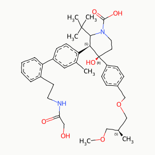 COC[C@H](C)COCc1ccc([C@@]2(O)CCN(C(=O)O)C(C(C)(C)C)[C@@H]2c2ccc(-c3ccccc3CCNC(=O)CO)cc2C)cc1